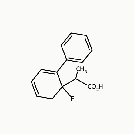 CC(C(=O)O)C1(F)CC=CC=C1c1ccccc1